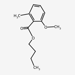 CCCCOC(=O)c1c(C)cccc1OC